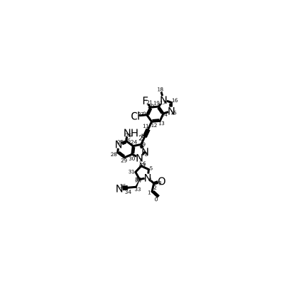 C=CC(=O)N1C[C@@H](n2nc(C#Cc3cc4ncn(C)c4c(F)c3Cl)c3c(N)nccc32)C[C@@H]1CC#N